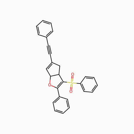 O=S(=O)(C1=C(c2ccccc2)OC2C=C(C#Cc3ccccc3)CC12)c1ccccc1